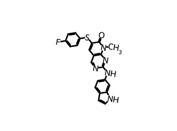 Cn1c(=O)c(Sc2ccc(F)cc2)cc2cnc(Nc3ccc4cc[nH]c4c3)nc21